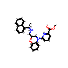 COC(=O)c1cccc(N2CC(CN[C@H](C)c3cccc4ccccc34)Oc3ccccc32)n1